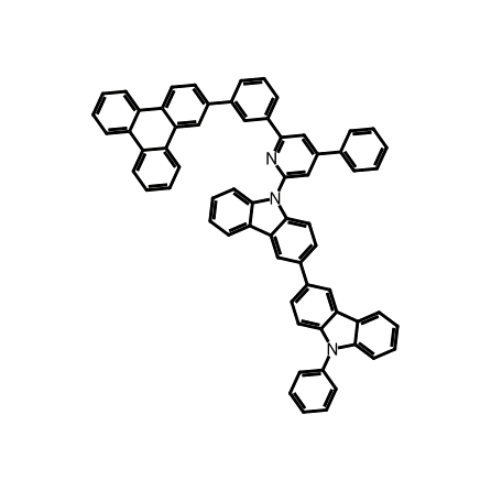 c1ccc(-c2cc(-c3cccc(-c4ccc5c6ccccc6c6ccccc6c5c4)c3)nc(-n3c4ccccc4c4cc(-c5ccc6c(c5)c5ccccc5n6-c5ccccc5)ccc43)c2)cc1